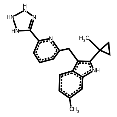 Cc1ccc2c(Cc3cccc(C4=NNNN4)n3)c(C3(C)CC3)[nH]c2c1